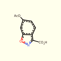 CC(=O)Oc1ccc2c(C(=O)O)noc2c1